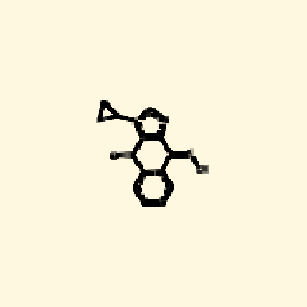 O=C1c2ccccc2C(=NO)c2ncn(C3CC3)c21